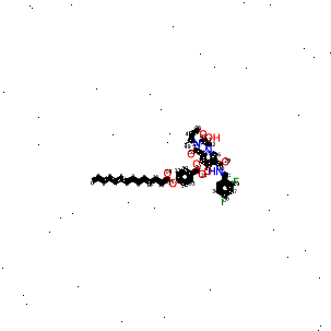 CCCCCCCCCCCCCC(=O)Oc1ccc(C(=O)Oc2c3n(cc(C(=O)NCc4ccc(F)cc4F)c2=O)CC2(O)OCC[C@@H](C)N2C3=O)cc1